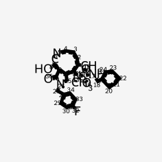 Cc1cccncc(O)c2c(c1N(C)S(=O)(=O)NCc1ccccc1)CN(Cc1ccc(F)cc1)C2=O